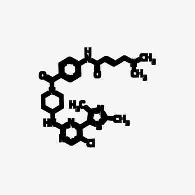 Cc1nc(C)c(-c2nc(NC3CCN(C(=O)c4ccc(NC(=O)C=CCN(C)C)cc4)CC3)ncc2Cl)s1